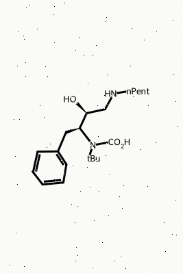 CCCCCNC[C@H](O)[C@H](Cc1ccccc1)N(C(=O)O)C(C)(C)C